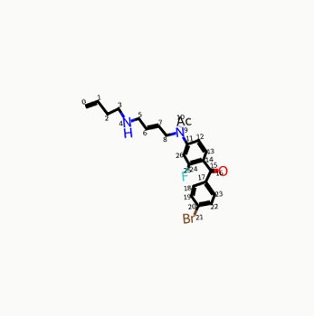 C=CCCNCC=CCN(C(C)=O)c1ccc(C(=O)c2ccc(Br)cc2)c(F)c1